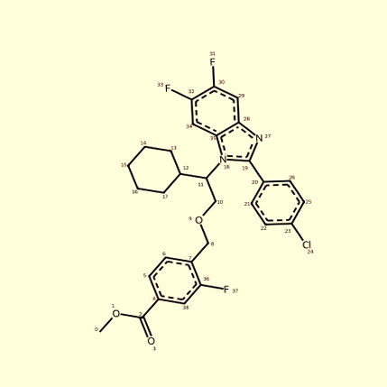 COC(=O)c1ccc(COCC(C2CCCCC2)n2c(-c3ccc(Cl)cc3)nc3cc(F)c(F)cc32)c(F)c1